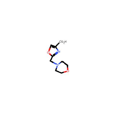 O=C(O)c1coc(CN2CCOCC2)n1